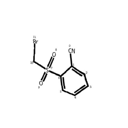 N#Cc1ccccc1S(=O)(=O)CBr